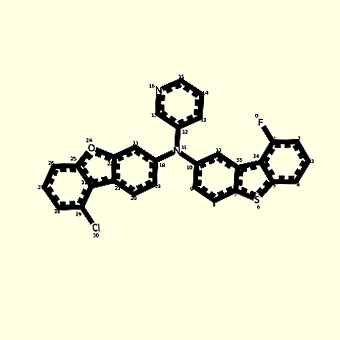 Fc1cccc2sc3ccc(N(c4cccnc4)c4ccc5c(c4)oc4cccc(Cl)c45)cc3c12